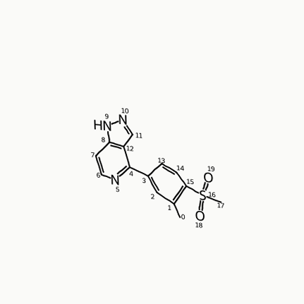 Cc1cc(-c2nccc3[nH]ncc23)ccc1S(C)(=O)=O